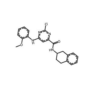 COc1ccccc1Nc1cc(C(=O)NC2CCc3ccccc3C2)nc(Cl)n1